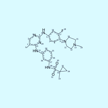 Cc1cnc(Nc2ccc(N3CCN(C)CC3)c(F)c2)nc1Nc1cccc(NS(=O)(=O)C2(C)CC2)c1